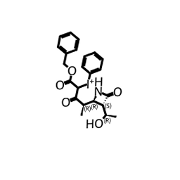 C[C@@H](O)[C@H]1C(=O)N[C@@H]1[C@@H](C)C(=O)C([I+]c1ccccc1)C(=O)OCc1ccccc1